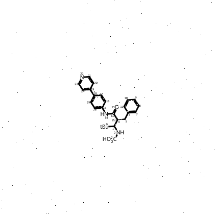 CC(C)(C)C(NC(=O)O)[C@H](Cc1ccccc1)C(=O)Nc1ccc(-c2ccncc2)cc1